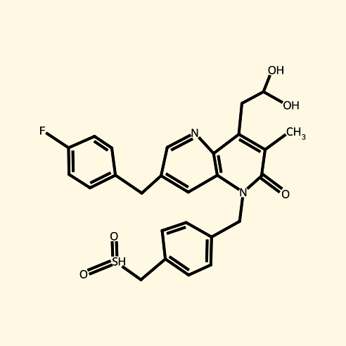 Cc1c(CC(O)O)c2ncc(Cc3ccc(F)cc3)cc2n(Cc2ccc(C[SH](=O)=O)cc2)c1=O